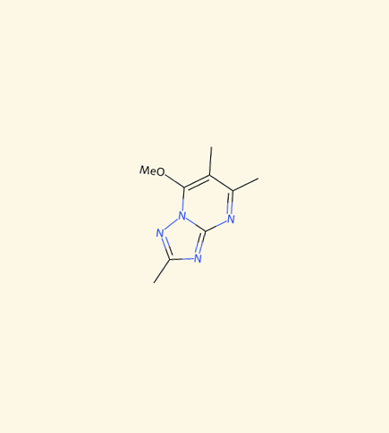 COc1c(C)c(C)nc2nc(C)nn12